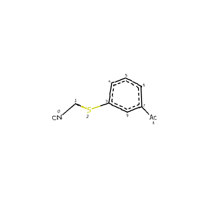 [C-]#[N+]CSc1cccc(C(C)=O)c1